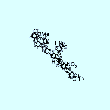 COc1cc(CN2CCN(C3CC4(CCN(c5ccc(C(=O)NS(=O)(=O)c6ccc(NCC7CCC(C)(O)CC7)c([N+](=O)[O-])c6)c(Oc6cnc7[nH]cc(F)c7c6)c5)CC4)C3)[C@H](c3ccccc3C(C)C)C2)ccc1C(F)(F)F